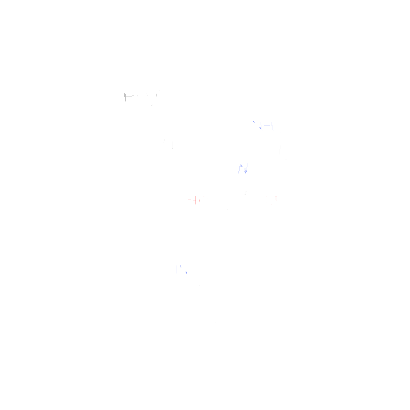 CN(Cc1c(N)ccc(C(=O)O)c1C(C)(C)C)C(=O)C(O)Cc1c[nH]c2ccccc12